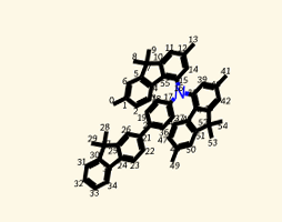 Cc1ccc2c(c1)C(C)(C)c1cc(C)cc(N(c3ccc(-c4ccc5c(c4)C(C)(C)c4ccccc4-5)cc3)c3cc(C)cc4c3-c3ccc(C)cc3C4(C)C)c1-2